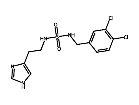 O=S(=O)(NCCc1c[nH]cn1)NCc1ccc(Cl)c(Cl)c1